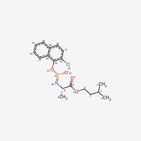 CC(C)CCOC(=O)[C@H](C)/N=[P+](\[O-])Oc1c(Cl)ccc2ccccc12